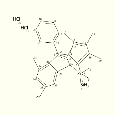 CC1=C(C)C(C)[C]([Zr]([CH3])([CH3])(=[SiH2])[CH]2C(C)=C(c3ccccc3)c3c(C)cc(C)cc32)=C1C.Cl.Cl